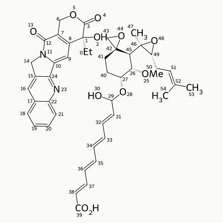 CC[C@@]1(O)C(=O)OCc2c1cc1n(c2=O)Cc2cc3ccccc3nc2-1.CO[C@@H]1[C@H](OC(O)/C=C/C=C/C=C/C=C/C(=O)O)CC[C@]2(CO2)[C@H]1[C@@]1(C)O[C@@H]1CC=C(C)C